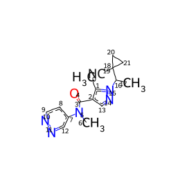 Cc1c(C(=O)N(C)c2ccnnc2)cnn1C(C)C1(C#N)CC1